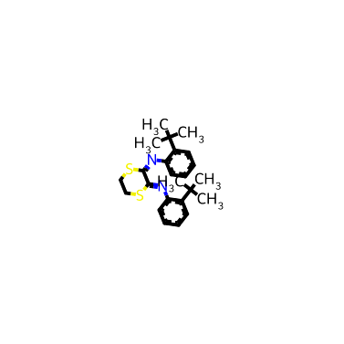 CC(C)(C)c1ccccc1N=C1SCCSC1=Nc1ccccc1C(C)(C)C